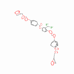 O=C(Oc1ccc(OCOc2ccc(OCOCC3CO3)cc2)c(C(F)F)c1)c1ccc(OCOCC2CO2)cc1